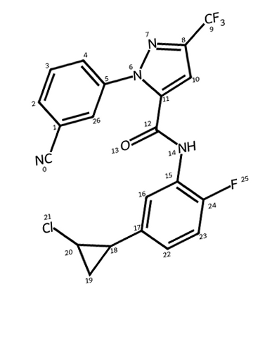 N#Cc1cccc(-n2nc(C(F)(F)F)cc2C(=O)Nc2cc(C3CC3Cl)ccc2F)c1